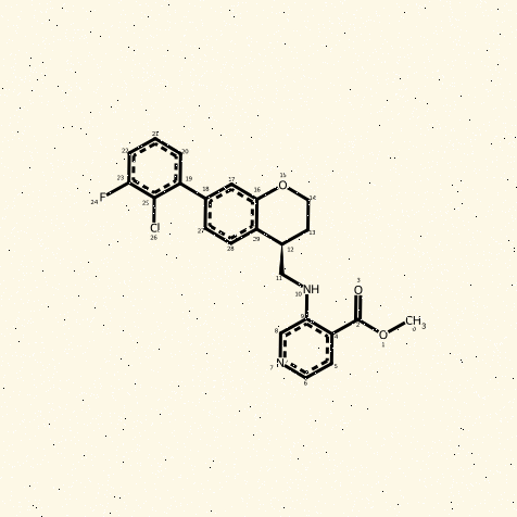 COC(=O)c1ccncc1NC[C@@H]1CCOc2cc(-c3cccc(F)c3Cl)ccc21